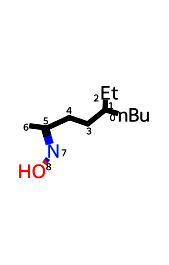 CCCCC(CC)CCC(C)=NO